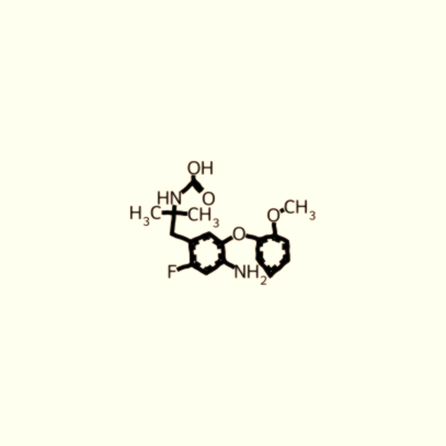 COc1ccccc1Oc1cc(CC(C)(C)NC(=O)O)c(F)cc1N